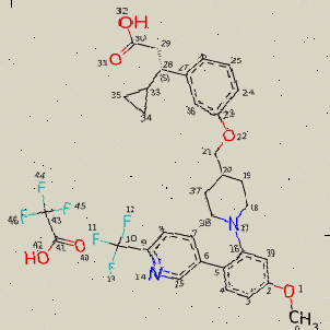 COc1ccc(-c2ccc(C(F)(F)F)nc2)c(N2CCC(COc3cccc([C@@H](CC(=O)O)C4CC4)c3)CC2)c1.O=C(O)C(F)(F)F